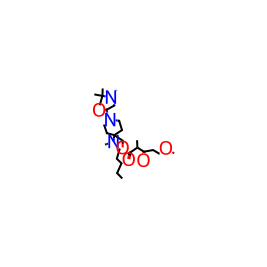 CCCCCN(C)C1(COC(=O)C(C)C(=O)CCOC)CCN(C(=O)CN(C)C(C)(C)C)CC1